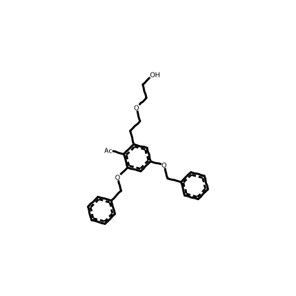 CC(=O)c1c(CCOCCO)cc(OCc2ccccc2)cc1OCc1ccccc1